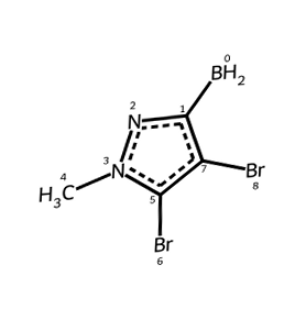 Bc1nn(C)c(Br)c1Br